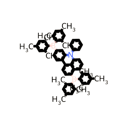 Cc1cc(C)c(B(c2ccc3c(c2)N(c2ccccc2)c2cccc4c(B(c5c(C)cc(C)cc5C)c5c(C)cc(C)cc5C)ccc-3c24)c2c(C)cc(C)cc2C)c(C)c1